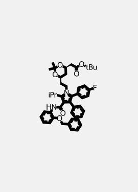 CC(C)c1c(C(=O)Nc2ccccc2OCc2ccccc2)c(-c2ccccc2)c(-c2ccc(F)cc2)n1CC[C@@H]1C[C@H](CC(=O)OC(C)(C)C)OC(C)(C)O1